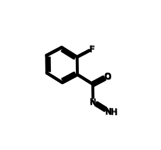 N=NC(=O)c1ccccc1F